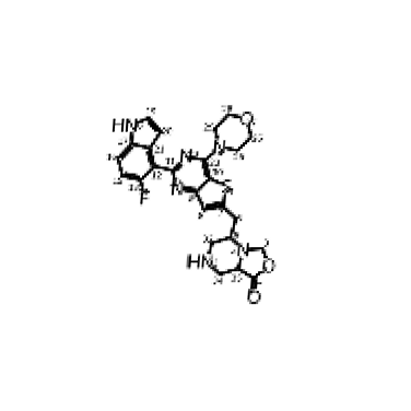 O=C1OCN2C(Cc3cc4nc(-c5c(F)ccc6[nH]ccc56)nc(N5CCOCC5)c4s3)CNCC12